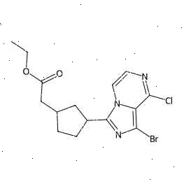 CCOC(=O)CC1CCC(c2nc(Br)c3c(Cl)nccn23)C1